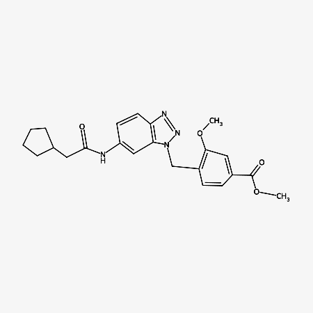 COC(=O)c1ccc(Cn2nnc3ccc(NC(=O)CC4CCCC4)cc32)c(OC)c1